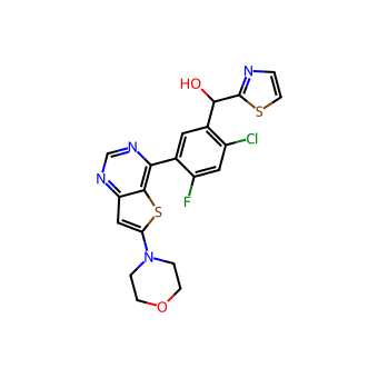 OC(c1nccs1)c1cc(-c2ncnc3cc(N4CCOCC4)sc23)c(F)cc1Cl